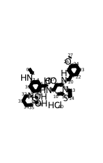 CCNc1cc(C(=O)N[C@@H](Cc2nccs2)[C@H](O)CNCc2cccc(OC)c2)cc(N2CCCCS2(O)O)c1.Cl